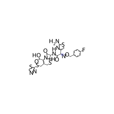 Nc1nc(/C(=N\OCc2ccc(F)cc2)C(=O)NC2C(=O)N3C(C(=O)O)=C(CSc4nncs4)CS[C@H]23)cs1